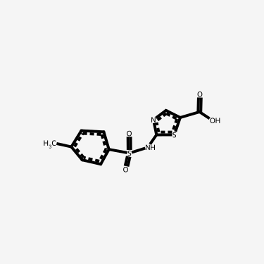 Cc1ccc(S(=O)(=O)Nc2ncc(C(=O)O)s2)cc1